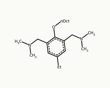 CCCCCCCCOc1c(CN(C)C)cc(CC)cc1CN(C)C